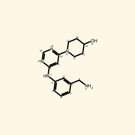 NCc1cccc(Nc2cc(N3CCC(O)CC3)ncn2)c1